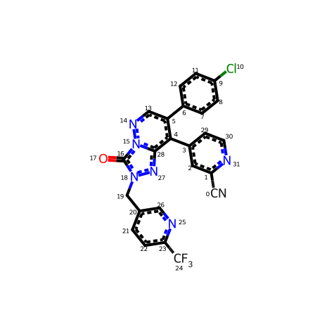 N#Cc1cc(-c2c(-c3ccc(Cl)cc3)cnn3c(=O)n(Cc4ccc(C(F)(F)F)nc4)nc23)ccn1